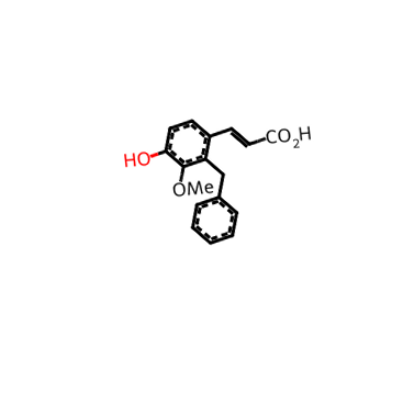 COc1c(O)ccc(C=CC(=O)O)c1Cc1ccccc1